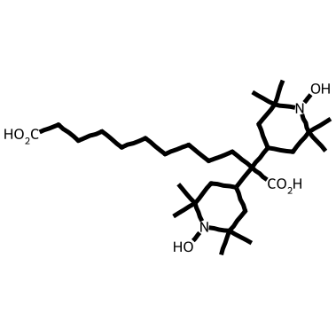 CC1(C)CC(C(CCCCCCCCCC(=O)O)(C(=O)O)C2CC(C)(C)N(O)C(C)(C)C2)CC(C)(C)N1O